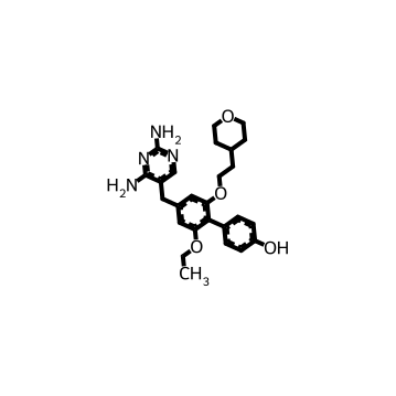 CCOc1cc(Cc2cnc(N)nc2N)cc(OCCC2CCOCC2)c1-c1ccc(O)cc1